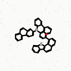 c1ccc(-c2ccccc2N(c2ccc(-c3cccc4ccc5c6ccccc6sc5c34)cc2)c2ccc3c(ccc4ccccc43)c2)cc1